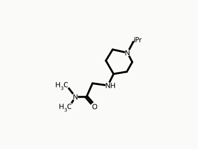 CC(C)N1CCC(NCC(=O)N(C)C)CC1